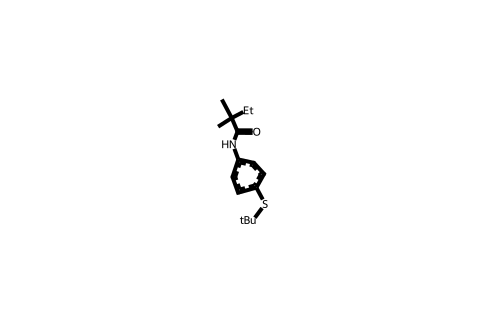 CCC(C)(C)C(=O)Nc1ccc(SC(C)(C)C)cc1